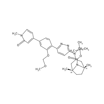 COCOc1cc(-c2ccn(C)c(=O)c2)ccc1-c1ccc(N(C)C2C[C@]3(C)CC[C@](C)(C2)N3C(=O)OC(C)(C)C)nn1